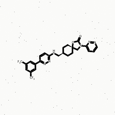 O=C1O[C@]2(CC[C@H](CNc3ccc(-c4cc(C(F)(F)F)cc(C(F)(F)F)c4)nn3)CC2)CN1c1cccnn1